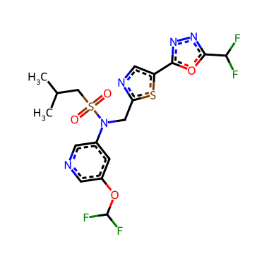 CC(C)CS(=O)(=O)N(Cc1ncc(-c2nnc(C(F)F)o2)s1)c1cncc(OC(F)F)c1